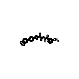 Cc1cccc(C(=O)NCC(=O)NC2CN(C3CC=C(c4ccc5c(c4)OCO5)CC3)C2)c1